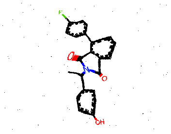 CC(c1ccc(O)cc1)N1C(=O)c2cccc(-c3ccc(F)cc3)c2C1=O